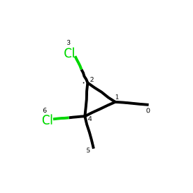 CC1[C](Cl)C1(C)Cl